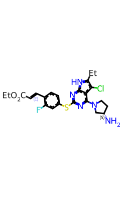 CCOC(=O)/C=C/c1ccc(Sc2nc(N3CC[C@H](N)C3)c3c(Cl)c(CC)[nH]c3n2)cc1F